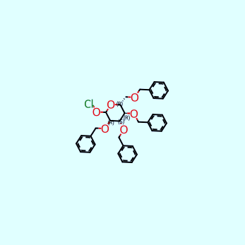 ClOC1O[C@H](COCc2ccccc2)[C@@H](OCc2ccccc2)[C@H](OCc2ccccc2)[C@H]1OCc1ccccc1